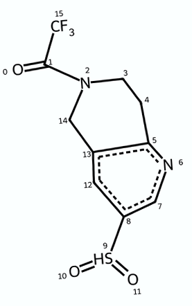 O=C(N1CCc2ncc([SH](=O)=O)cc2C1)C(F)(F)F